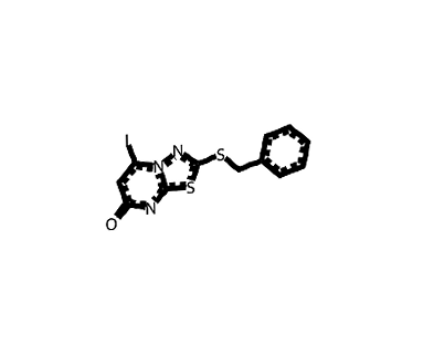 O=c1cc(I)n2nc(SCc3ccccc3)sc2n1